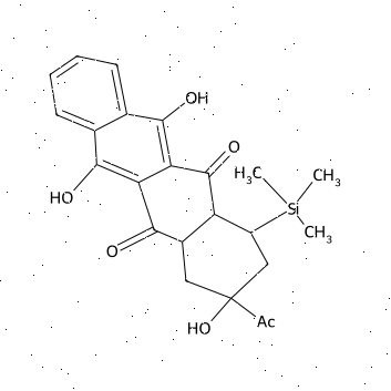 CC(=O)C1(O)CC2C(=O)c3c(c(O)c4ccccc4c3O)C(=O)C2C([Si](C)(C)C)C1